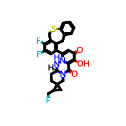 O=C1c2c(O)c(=O)cc(-c3cc(F)c(F)c4c3Cc3ccccc3SC4)n2N[C@@H]2CCC3(CC3CF)CN12